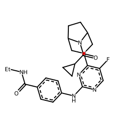 CCNC(=O)c1ccc(Nc2ncc(F)c(N3CC4CCC(C3)N4C(=O)C3CC3)n2)cc1